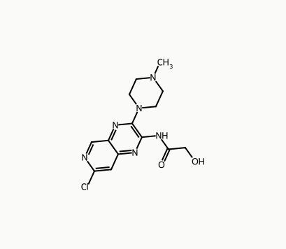 CN1CCN(c2nc3cnc(Cl)cc3nc2NC(=O)CO)CC1